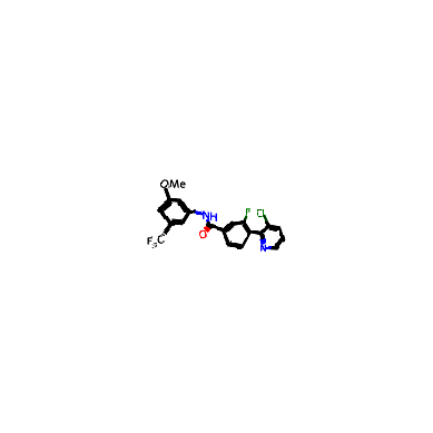 COc1cc(NC(=O)c2ccc(-c3ncccc3Cl)c(F)c2)cc(C(F)(F)F)c1